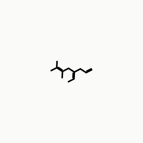 C=CCC(=CC)CC(C)=C(C)C